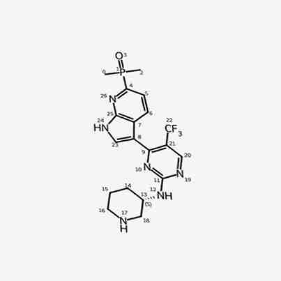 CP(C)(=O)c1ccc2c(-c3nc(N[C@H]4CCCNC4)ncc3C(F)(F)F)c[nH]c2n1